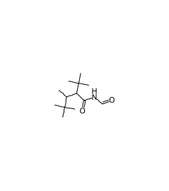 CC(C(C(=O)NC=O)C(C)(C)C)C(C)(C)C